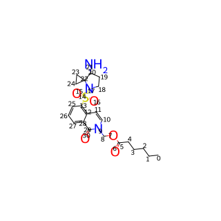 CCCCCC(=O)OCn1ccc2c(S(=O)(=O)N3CC[C@H](N)C34CC4)cccc2c1=O